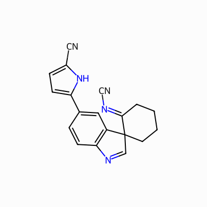 N#CN=C1CCCCC12C=Nc1ccc(-c3ccc(C#N)[nH]3)cc12